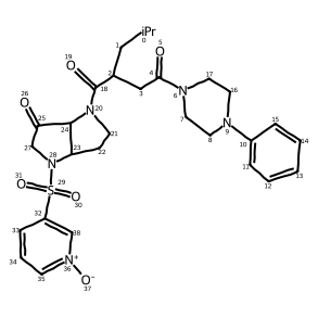 CC(C)CC(CC(=O)N1CCN(c2ccccc2)CC1)C(=O)N1CCC2C1C(=O)CN2S(=O)(=O)c1ccc[n+]([O-])c1